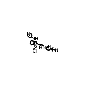 CN1CCC(Nc2cccc3c2cc(C#CCNc2ccc(C(C)(C)C#N)nc2)n3CCCl)CC1